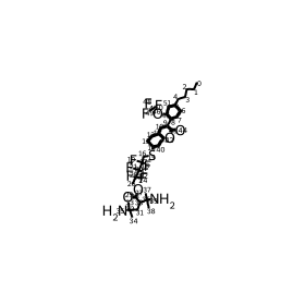 CCCCCc1ccc(-c2cc3ccc(SCC(F)(F)C(F)(F)C(F)(F)COC(=O)C(CC(C)(C)N)C(C)(C)N)cc3oc2=O)c(OC(F)(F)F)c1